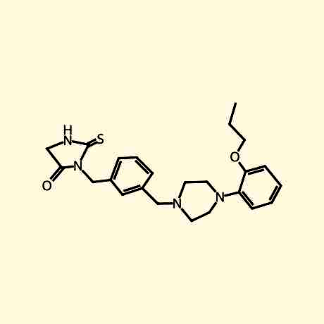 CCCOc1ccccc1N1CCN(Cc2cccc(CN3C(=O)CNC3=S)c2)CC1